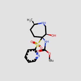 C[C@@H]1CC[C@@](NC(=O)OC(C)(C)C)(S(=O)(=O)c2ccccn2)[C@H](O)CN1